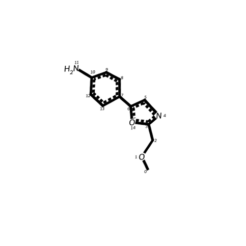 COCc1ncc(-c2ccc(N)cc2)o1